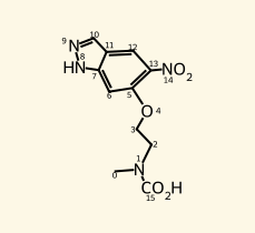 CN(CCOc1cc2[nH]ncc2cc1[N+](=O)[O-])C(=O)O